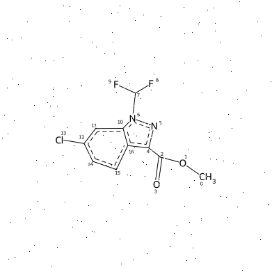 COC(=O)c1nn(C(F)F)c2cc(Cl)ccc12